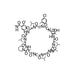 CC[C@H](C)[C@@H]1NC(=O)[C@H](CC(C)C)N(C)C(=O)CN(C)C(=O)C[C@@H](C(=O)N2CCCCC2)NC(=O)[C@H](CC(C)C)N(C)C(=O)[C@H](Cc2ccc(OC)c(C(=O)NC)c2)NC(=O)[C@H](CC(C)C)N(C)C(=O)[C@H](Cc2cccc(Cl)c2)N(C)C(=O)CN(C)C(=O)[C@H]([C@@H](C)O)NC(=O)[C@H](CC(C)C)N(C)C1=O